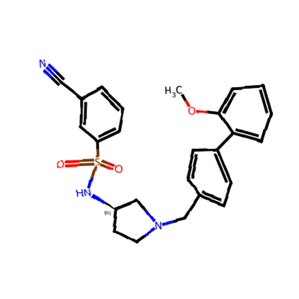 COc1ccccc1-c1ccc(CN2CC[C@@H](NS(=O)(=O)c3cccc(C#N)c3)C2)cc1